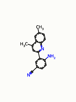 Cc1ccc2nc(-c3cc(C#N)ccc3N)cc(C)c2c1